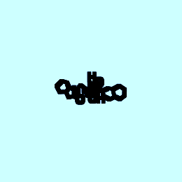 O=C1Cc2ccccc2N1C[C@H](CO)NS(=O)(=O)c1ccc2ccccc2c1